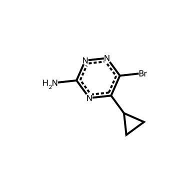 Nc1nnc(Br)c(C2CC2)n1